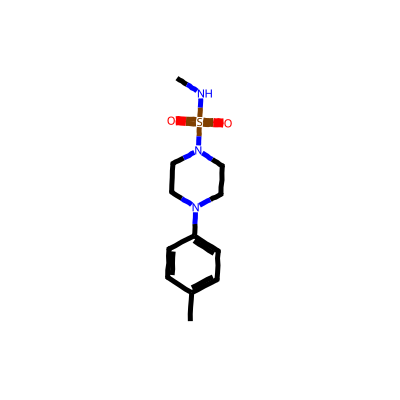 CNS(=O)(=O)N1CCN(c2ccc(C)cc2)CC1